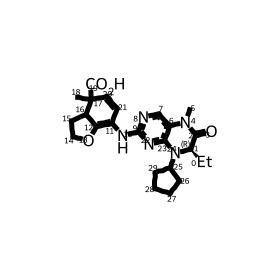 CC[C@@H]1C(=O)N(C)c2cnc(NC3=C4OCCC4C(C)(C(=O)O)C=C3)nc2N1C1CCCC1